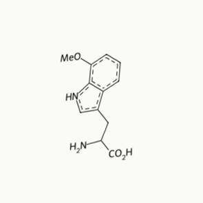 COc1cccc2c(CC(N)C(=O)O)c[nH]c12